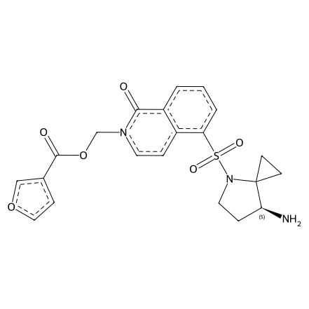 N[C@H]1CCN(S(=O)(=O)c2cccc3c(=O)n(COC(=O)c4ccoc4)ccc23)C12CC2